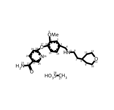 COc1cc(CNCCC2CCOCC2)ccc1Oc1ccc(C(N)=O)cn1.CS(=O)(=O)O